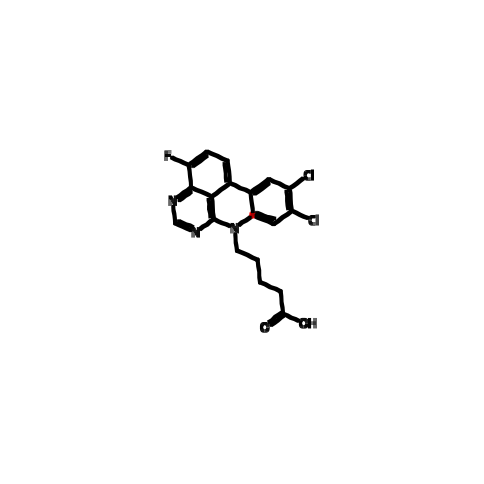 CCN(CCCCC(=O)O)c1ncnc2c(F)ccc(-c3ccc(Cl)c(Cl)c3)c12